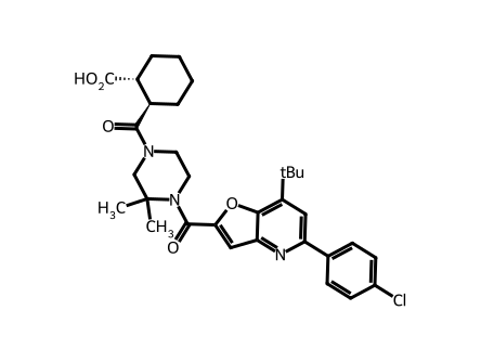 CC(C)(C)c1cc(-c2ccc(Cl)cc2)nc2cc(C(=O)N3CCN(C(=O)[C@@H]4CCCC[C@H]4C(=O)O)CC3(C)C)oc12